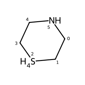 C1C[SH4]CCN1